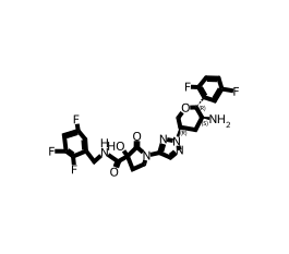 N[C@H]1C[C@@H](n2ncc(N3CCC(O)(C(=O)NCc4cc(F)cc(F)c4F)C3=O)n2)CO[C@@H]1c1cc(F)ccc1F